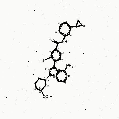 Nc1nccn2c([C@@H]3CCC[C@H](C(=O)O)C3)nc(-c3ccc(C(=O)Nc4cc(C5CC5)ccn4)cc3F)c12